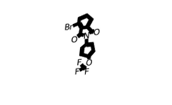 O=C1c2cccc(Br)c2C(=O)N1c1ccc(OC(F)(F)F)cc1